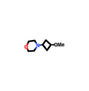 CO[C@H]1C[C@@H](N2CCOCC2)C1